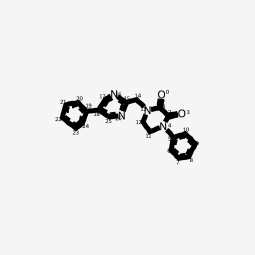 O=C1C(=O)N(c2ccccc2)CCN1Cc1ncc(-c2ccccc2)cn1